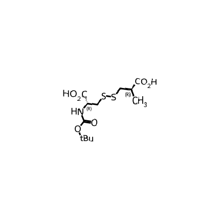 C[C@@H](CSSC[C@H](NC(=O)OC(C)(C)C)C(=O)O)C(=O)O